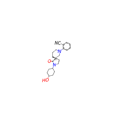 N#Cc1ccccc1N1CCC[C@]2(CCN(C3CCC(O)CC3)C2=O)C1